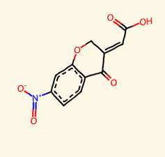 O=C(O)/C=C1\COc2cc([N+](=O)[O-])ccc2C1=O